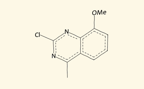 COc1cccc2c(C)nc(Cl)nc12